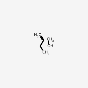 C=CCC.CO